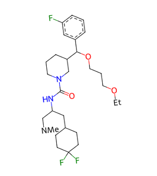 CCOCCCOC(c1cccc(F)c1)C1CCCN(C(=O)NC(CNC)CC2CCC(F)(F)CC2)C1